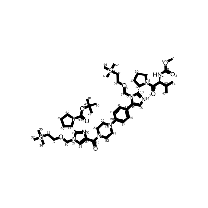 COC(=O)N[C@H](C(=O)N1CCC[C@H]1c1ncc(-c2ccc(N3CCN(C(=O)c4cn(COCC[Si](C)(C)C)c([C@@H]5CCCN5C(=O)OC(C)(C)C)n4)CC3)cc2)n1COCC[Si](C)(C)C)C(C)C